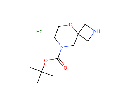 CC(C)(C)OC(=O)N1CCOC2(CNC2)C1.Cl